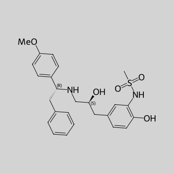 COc1ccc([C@@H](Cc2ccccc2)NC[C@@H](O)Cc2ccc(O)c(NS(C)(=O)=O)c2)cc1